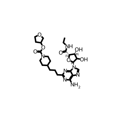 CCNC(=O)[C@H]1O[C@@H](n2cnc3c(N)nc(CCCC4CCN(C(=O)OC5CCOC5)CC4)nc32)C(O)[C@H]1O